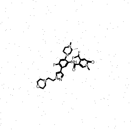 C[C@@H]1CN(c2cc(F)c(-c3cnn(CCN4CCOCC4)c3)cc2NC(=O)c2cn(C)c(=O)cc2C(F)F)CCN1C